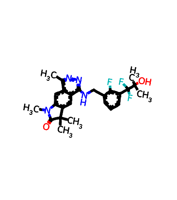 Cc1nnc(NCc2cccc(C(F)(F)C(C)(C)O)c2F)c2cc3c(cc12)N(C)C(=O)C3(C)C